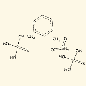 C.C.O=[SH2]=O.OP(O)(O)=S.OP(O)(O)=S.c1ccccc1